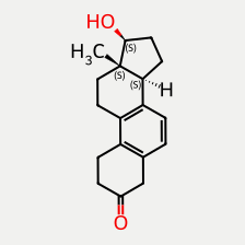 C[C@]12CCc3c(ccc4c3CCC(=O)C4)[C@@H]1CC[C@@H]2O